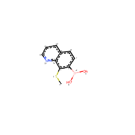 CSc1c(B(O)O)ccc2cccnc12